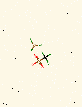 F[S+](F)F.O=S(=O)([O-])C(F)(F)F